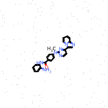 CN(c1ccc(C(=O)Nc2ccccc2N)cc1)c1nccc(-c2cnc3ccccn23)n1